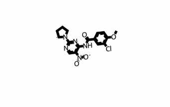 COc1ccc(C(=O)Nc2nc(N3[CH]CCC3)ncc2[N+](=O)[O-])cc1Cl